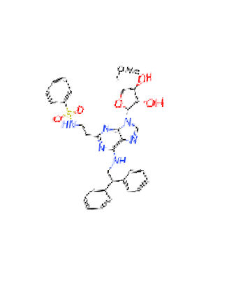 COC[C@H]1O[C@@H](n2cnc3c(NCC(c4ccccc4)c4ccccc4)nc(CCNS(=O)(=O)c4ccccc4)nc32)[C@@H](O)[C@@H]1O